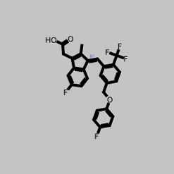 CC1=C(CC(=O)O)c2cc(F)ccc2/C1=C\c1cc(COc2ccc(F)cc2)ccc1C(F)(F)F